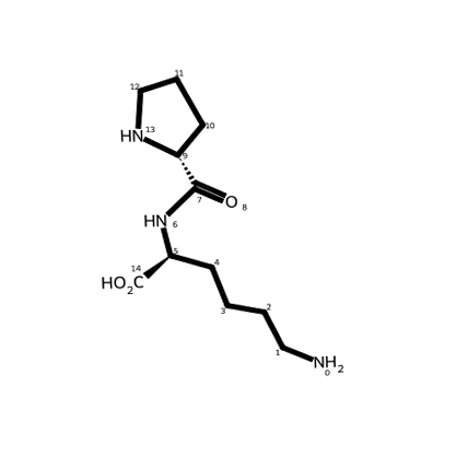 NCCCC[C@H](NC(=O)[C@H]1CCCN1)C(=O)O